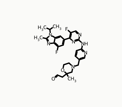 Cc1nc2c(F)cc(-c3nc(Nc4ccc(CN5CCOC(C)(CC=O)C5)cn4)ncc3F)cc2n1C(C)C